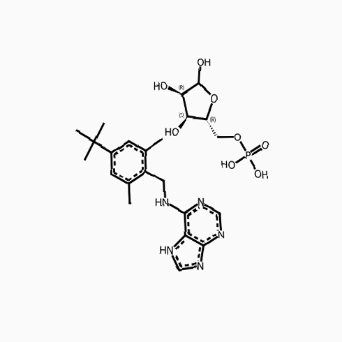 Cc1cc(C(C)(C)C)cc(C)c1CNc1ncnc2nc[nH]c12.O=P(O)(O)OC[C@H]1OC(O)[C@H](O)[C@@H]1O